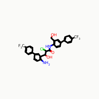 Nc1ccc(-c2ccc(C(F)(F)F)cc2)cc1C(O)C(Cl)C(=O)Nc1ccc(-c2ccc(C(F)(F)F)cc2)cc1CO